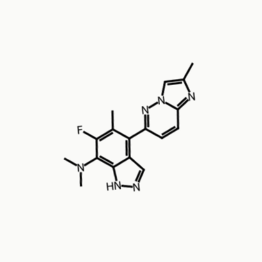 Cc1cn2nc(-c3c(C)c(F)c(N(C)C)c4[nH]ncc34)ccc2n1